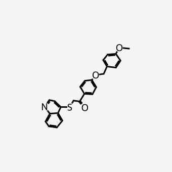 COc1ccc(COc2ccc(C(=O)CSc3ccnc4ccccc34)cc2)cc1